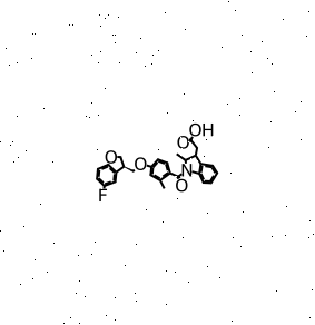 Cc1cc(OC[C@@H]2COc3ccc(F)cc32)ccc1C(=O)N1c2ccccc2C(CC(=O)O)C1C